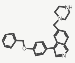 c1ccc(COc2ccc(-c3cncc4ccc(CN5CCNCC5)cc34)cc2)cc1